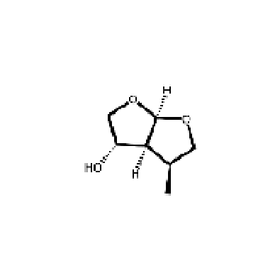 C[C@@H]1CO[C@@H]2OC[C@@H](O)[C@@H]21